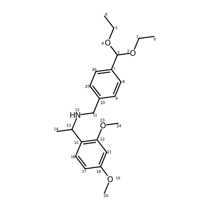 CCOC(OCC)c1ccc(CNC(C)c2ccc(OC)cc2OC)cc1